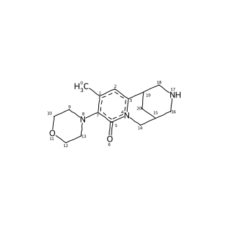 Cc1cc2n(c(=O)c1N1CCOCC1)CC1CNCC2C1